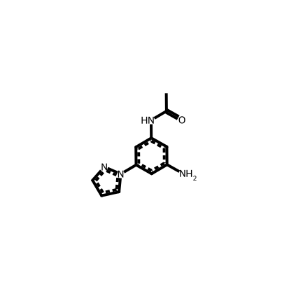 CC(=O)Nc1cc(N)cc(-n2cccn2)c1